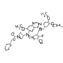 COc1ccc(CN(c2cccc(Cl)c2F)c2ncnc3cc(OC)c(N(C)C4CN(C(=O)OCc5ccccc5)C4)cc23)cc1OC